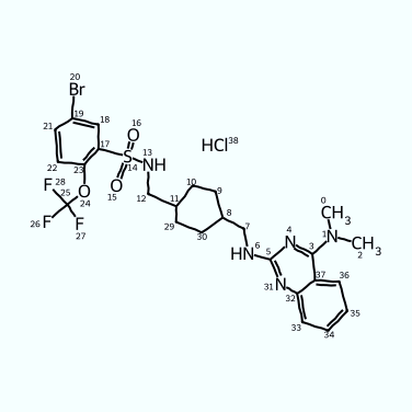 CN(C)c1nc(NCC2CCC(CNS(=O)(=O)c3cc(Br)ccc3OC(F)(F)F)CC2)nc2ccccc12.Cl